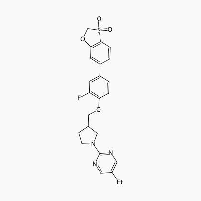 CCc1cnc(N2CCC(COc3ccc(-c4ccc5c(c4)OCS5(=O)=O)cc3F)C2)nc1